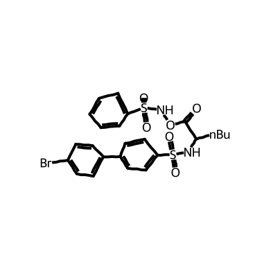 CCCCC(NS(=O)(=O)c1ccc(-c2ccc(Br)cc2)cc1)C(=O)ONS(=O)(=O)c1ccccc1